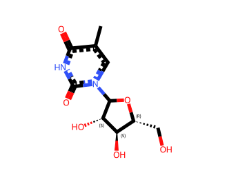 Cc1cn(C2O[C@H](CO)[C@@H](O)[C@@H]2O)c(=O)[nH]c1=O